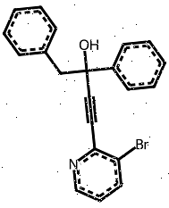 OC(C#Cc1ncccc1Br)(Cc1ccccc1)c1ccccc1